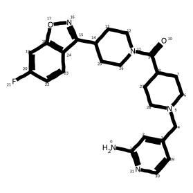 Nc1cc(CN2CCC(C(=O)N3CCC(c4noc5cc(F)ccc45)CC3)CC2)ccn1